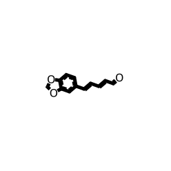 O=C/C=C/C=C/c1ccc2c(c1)OCO2